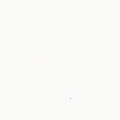 Cc1ccccc1C(=O)CCN(C)C